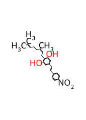 CC(C)=CCCC(C)=CCc1c(O)cc(C=Cc2ccc([N+](=O)[O-])cc2)cc1O